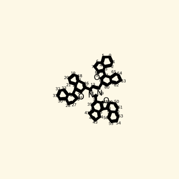 c1ccc2c(c1)ccc1oc3c(-c4cc(-c5cc6ccccc6c6c5oc5ccc7ccccc7c56)nc(-c5cc6ccccc6c6c5oc5ccc7ccccc7c56)n4)cc4ccccc4c3c12